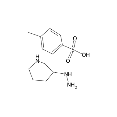 Cc1ccc(S(=O)(=O)O)cc1.NNC1CCCNC1